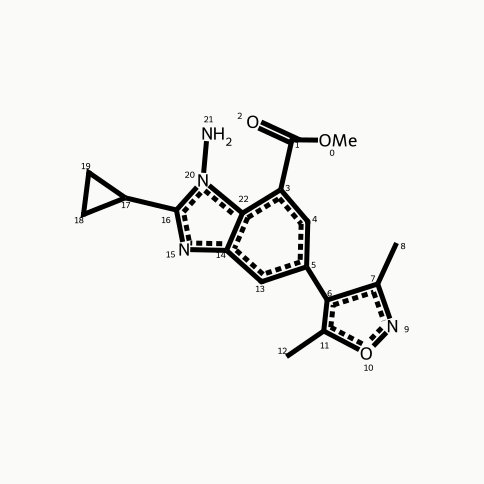 COC(=O)c1cc(-c2c(C)noc2C)cc2nc(C3CC3)n(N)c12